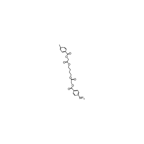 Cc1ccc(C(=O)OCC(=O)OCCCCOC(=O)COC(=O)c2ccc(N)cc2)cc1